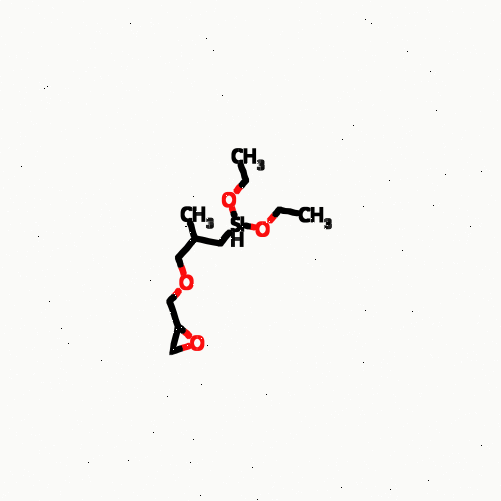 CCO[SiH](CC(C)COCC1CO1)OCC